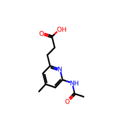 CC(=O)Nc1cc(C)cc(CCC(=O)O)n1